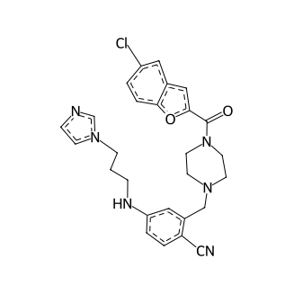 N#Cc1ccc(NCCCn2ccnc2)cc1CN1CCN(C(=O)c2cc3cc(Cl)ccc3o2)CC1